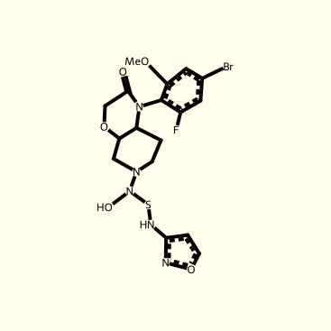 COc1cc(Br)cc(F)c1N1C(=O)COC2CN(N(O)SNc3ccon3)CCC21